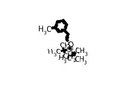 Cc1cccc(C=CO[SiH](C(C)(C)C)C(C)(C)C)c1